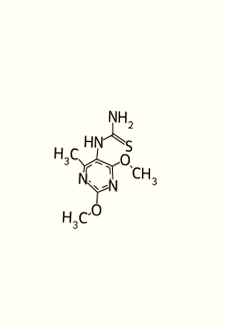 COc1nc(C)c(NC(N)=S)c(OC)n1